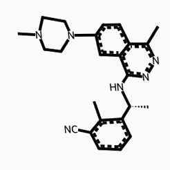 Cc1c(C#N)cccc1[C@@H](C)Nc1nnc(C)c2ccc(N3CCN(C)CC3)cc12